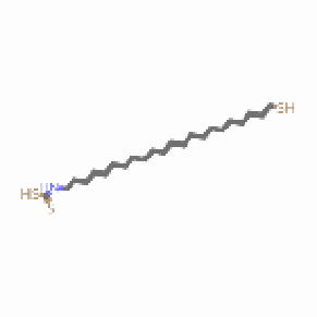 S=C(S)NCCCCCCCCCCCCCCCCCCCCCCS